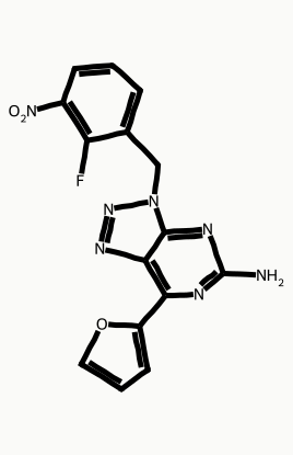 Nc1nc(-c2ccco2)c2nnn(Cc3cccc([N+](=O)[O-])c3F)c2n1